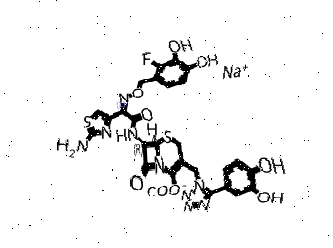 Nc1nc(/C(=N/OCc2ccc(O)c(O)c2F)C(=O)N[C@@H]2C(=O)N3C(C(=O)[O-])=C(Cn4nnnc4-c4ccc(O)c(O)c4)CS[C@H]23)cs1.[Na+]